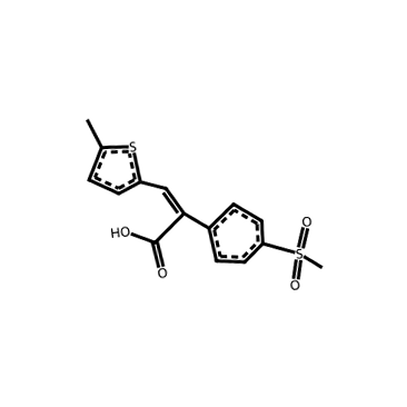 Cc1ccc(C=C(C(=O)O)c2ccc(S(C)(=O)=O)cc2)s1